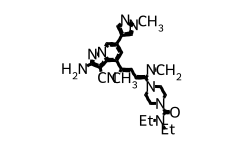 C=N/C(=C\C=C(/C)c1cc(-c2cnn(C)c2)cn2nc(N)c(C#N)c12)N1CCN(C(=O)N(CC)CC)CC1